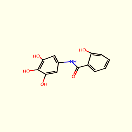 O=C(Nc1cc(O)c(O)c(O)c1)c1c[c]ccc1O